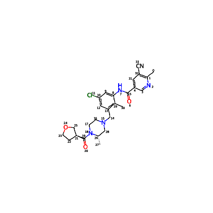 Cc1ncc(C(=O)Nc2cc(Cl)cc(CN3CCN(C(=O)[C@H]4CCOC4)[C@@H](C)C3)c2C)cc1C#N